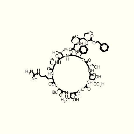 CC[C@H](C)[C@@H]1NC(=O)[C@@H](CCCNC(=N)N)NC(=O)[C@H](CC(C)C)NC(=O)[C@H]([C@H](O)C(C)C)NC(=O)[C@@H](NC(=O)[C@H](CC(C)C)NC(=O)[C@@H](CC(C)C)NC(=O)OCc2ccccc2)[C@@H](c2ccccc2)OC(=O)[C@H](CO)NC(=O)[C@H]([C@H](O)C(=O)O)NC(=O)CNC(=O)[C@H]([C@H](C)O)NC1=O